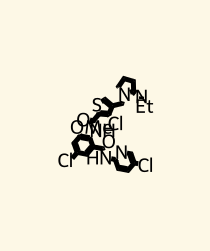 CC/N=C1/CCCN1Cc1csc(C(=O)Nc2c(OC)cc(Cl)cc2C(=O)Nc2ccc(Cl)cn2)c1Cl